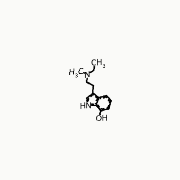 CCN(C)CCc1c[nH]c2c(O)cccc12